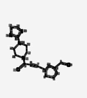 O=Cc1cccc(C#CC(=O)N2CCN(c3nccs3)CC2)c1